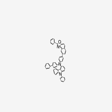 c1ccc(-c2ccc(N(c3ccc(-c4ccc5ccc6oc(-c7ccccc7)nc6c5c4)cc3)c3cccc4c3c3ccccc3n4-c3ccccc3)cc2)cc1